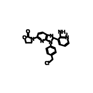 Nc1ncccc1-c1nc2ccc(N3CCOC3=O)nc2n1-c1ccc(CCl)cc1